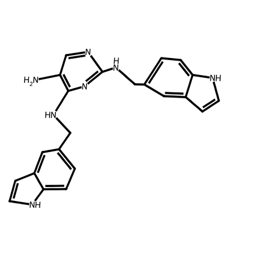 Nc1cnc(NCc2ccc3[nH]ccc3c2)nc1NCc1ccc2[nH]ccc2c1